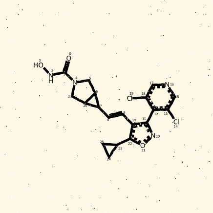 O=C(NO)N1CC2C(/C=C/c3c(-c4c(Cl)cncc4Cl)noc3C3CC3)C2C1